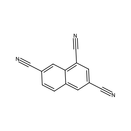 N#Cc1cc(C#N)c2cc(C#N)ccc2c1